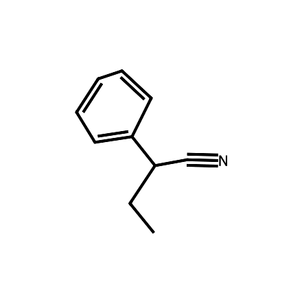 CCC(C#N)c1ccccc1